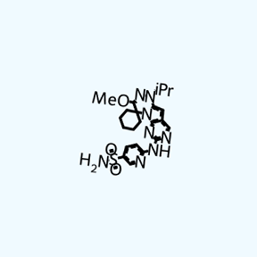 COC1=NN(C(C)C)c2cc3cnc(Nc4ccc(S(N)(=O)=O)cn4)nc3n2C12CCCCC2